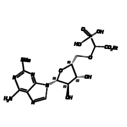 CCOC(=O)C(OC[C@H]1O[C@@H](n2cnc3c(N)nc(SC)nc32)[C@H](O)[C@H]1O)P(=O)(O)O